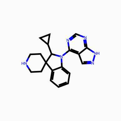 c1ccc2c(c1)N(c1ncnc3[nH]ncc13)C(C1CC1)C21CCNCC1